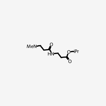 CNCCC(=O)NCCC(=O)OC(C)C